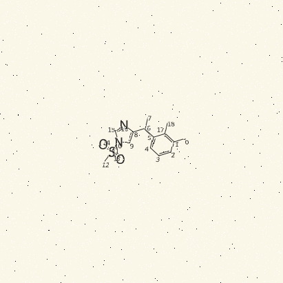 Cc1cccc(C(C)c2cn(S(C)(=O)=O)cn2)c1C